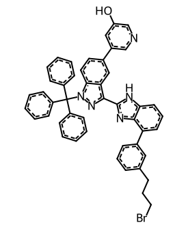 Oc1cncc(-c2ccc3c(c2)c(-c2nc4c(-c5cccc(CCCBr)c5)cccc4[nH]2)nn3C(c2ccccc2)(c2ccccc2)c2ccccc2)c1